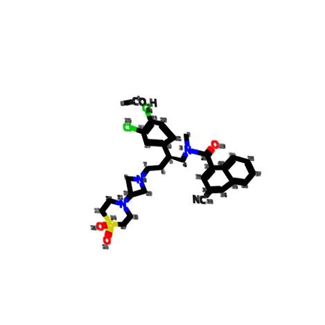 CC(=O)O.CN(C[C@@H](CCN1CC(N2CCS(=O)(=O)CC2)C1)c1ccc(Cl)c(Cl)c1)C(=O)c1cc(C#N)cc2ccccc12